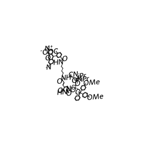 COc1ccc(C(OC[C@H]2O[C@@H](n3cc(/C=C/C(=O)NCCCCCCNC(=O)c4ccc(C(=O)[O-])c(-c5c6ccc(=[N+](C)C)cc-6oc6cc(N(C)C)ccc56)c4)c(=O)[nH]c3=O)C[C@@H]2OP(OCCC#N)N(C(C)C)C(C)C)(c2ccccc2)c2ccc(OC)cc2)cc1